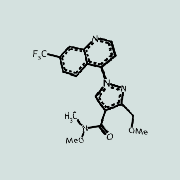 COCc1nn(-c2ccnc3cc(C(F)(F)F)ccc23)cc1C(=O)N(C)OC